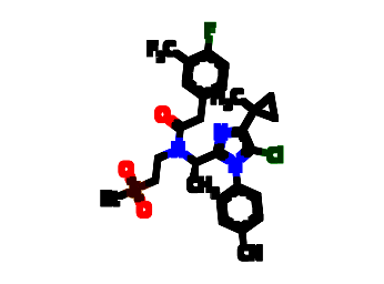 CCS(=O)(=O)CCN(C(=O)Cc1ccc(F)c(C(F)(F)F)c1)[C@H](C)c1nc(C2(C)CC2)c(Cl)n1-c1ccc(C#N)cc1